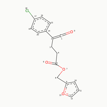 O=C=C(CCC(=O)OCc1ccco1)c1ccc(Cl)cc1